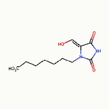 O=C(O)CCCCCCN1C(=O)NC(=O)C1=CO